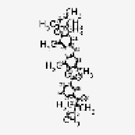 CCCC(C)(CC)Oc1c(C)cc(Cc2cc(C)c(OC(=O)c3cccc(C(=O)C(C)(C)CCC)c3)c(C)c2)cc1C